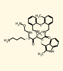 Cc1cccc(CNC(=O)[C@H](Cc2c(C)[nH]c3ccccc23)N(C)C(=O)[C@H](CCCCN)NCON)c1Sc1ccccc1CN